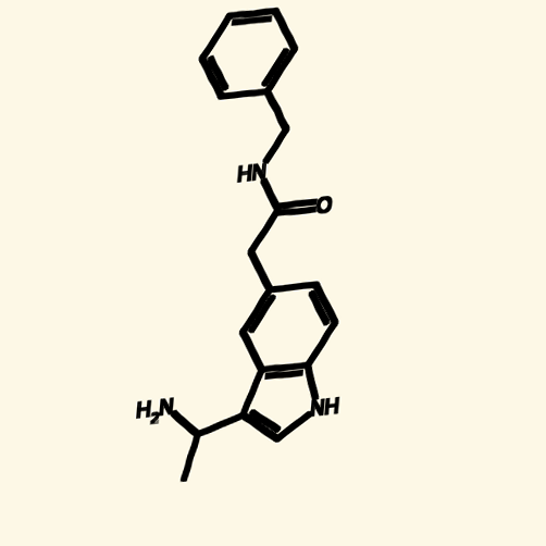 CC(N)c1c[nH]c2ccc(CC(=O)NCc3ccccc3)cc12